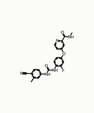 CNC(=O)c1cc(Oc2ccc(NC(=O)Nc3ccc(C#N)c(C)c3)c(F)c2)ccn1